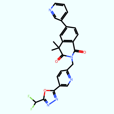 CC1(C)C(=O)N(Cc2ccc(-c3nnc(C(F)F)o3)cn2)C(=O)c2ccc(-c3cccnc3)cc21